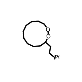 CC(C)CCC1CCCCCCCCCOO1